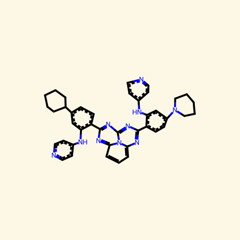 C1=CC2=NC(c3ccc(C4CCCCC4)cc3Nc3ccncc3)=NC3=NC(c4ccc(N5CCCCC5)cc4Nc4ccncc4)=NC(=C1)N23